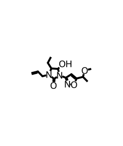 C=CCN1C(=O)N(c2cc(C(C)OC)on2)C(O)C1CC